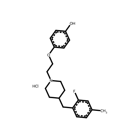 Cc1ccc(CC2CCN(CCOc3ccc(O)cc3)CC2)c(F)c1.Cl